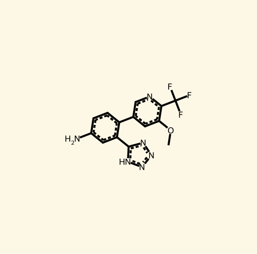 COc1cc(-c2ccc(N)cc2-c2nnn[nH]2)cnc1C(F)(F)F